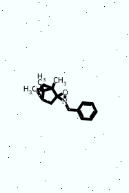 CC1(C)C2CCC1(C)C1(C2)ON1Cc1ccccc1